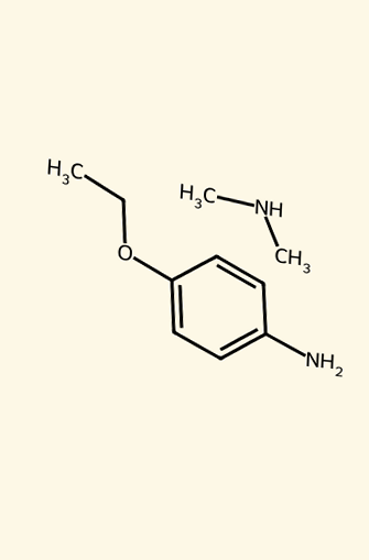 CCOc1ccc(N)cc1.CNC